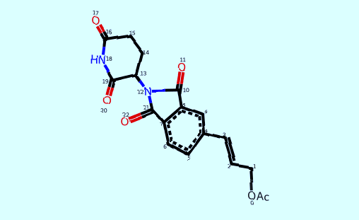 CC(=O)OC/C=C/c1ccc2c(c1)C(=O)N(C1CCC(=O)NC1=O)C2=O